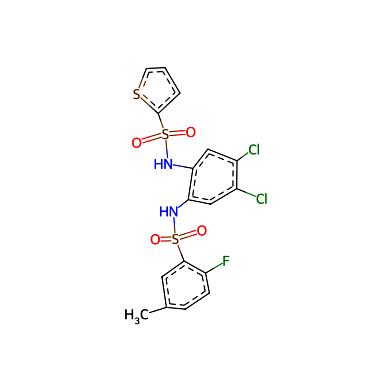 Cc1ccc(F)c(S(=O)(=O)Nc2cc(Cl)c(Cl)cc2NS(=O)(=O)c2cccs2)c1